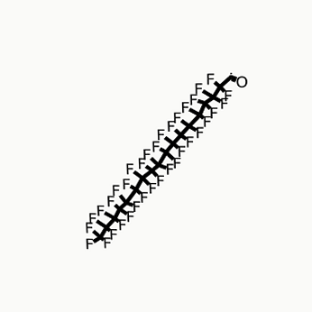 O=[C]C(F)(F)C(F)(F)C(F)(F)C(F)(F)C(F)(F)C(F)(F)C(F)(F)C(F)(F)C(F)(F)C(F)(F)C(F)(F)C(F)(F)C(F)(F)C(F)(F)C(F)(F)C(F)(F)C(F)(F)F